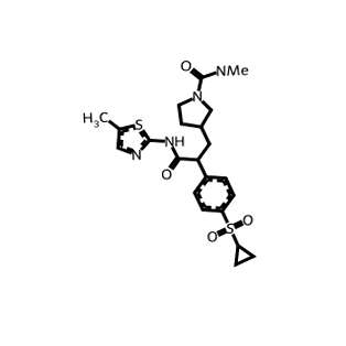 CNC(=O)N1CCC(CC(C(=O)Nc2ncc(C)s2)c2ccc(S(=O)(=O)C3CC3)cc2)C1